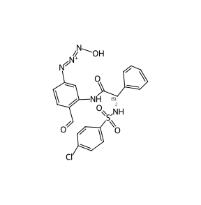 O=Cc1ccc(N=[N+]=NO)cc1NC(=O)[C@@H](NS(=O)(=O)c1ccc(Cl)cc1)c1ccccc1